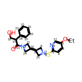 CCOc1ccc(SN2CC(=C3CN(C(=O)C(CO)c4ccccc4)C3)C2)nc1